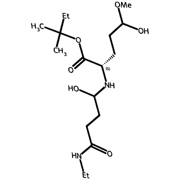 CCNC(=O)CCC(O)N[C@@H](CCC(O)OC)C(=O)OC(C)(C)CC